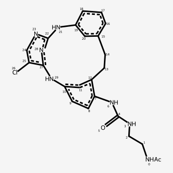 CC(=O)NCCNC(=O)Nc1ccc2cc1CCc1cccc(c1)Nc1ncc(Cl)c(n1)N2